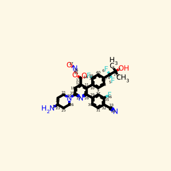 CC(C)(O)C(F)(F)c1ccc(-c2c(C(=O)ON=O)cc(N3CCC(N)CC3)nc2-c2ccc(C#N)c(F)c2)c(F)c1